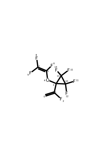 C=C(F)C1(OC(F)=C(F)F)C(F)(F)C1(F)F